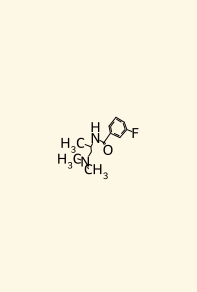 CC(CN(C)C)NC(=O)c1cccc(F)c1